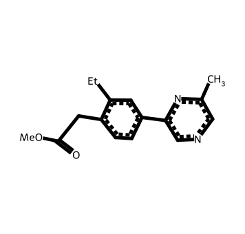 CCc1cc(-c2cncc(C)n2)ccc1CC(=O)OC